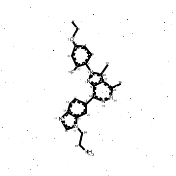 CCOc1ccc(-n2nc3c(-c4ccc5ncn(CCN)c5c4)nnc(C)c3c2C)c(F)c1